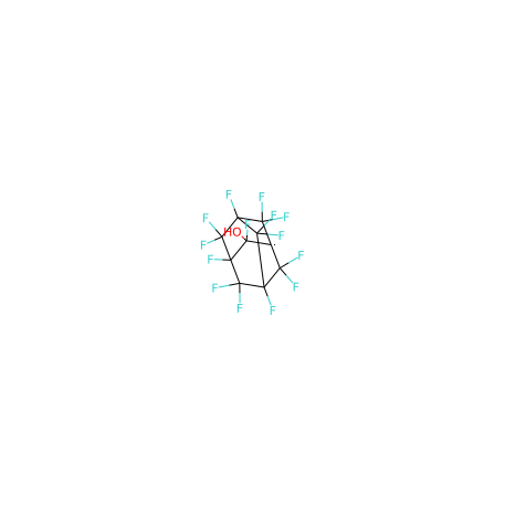 OC1(F)[C]2C(F)(F)C3(F)C(F)(F)C1(F)C(F)(F)C(F)(C2(F)F)C3(F)F